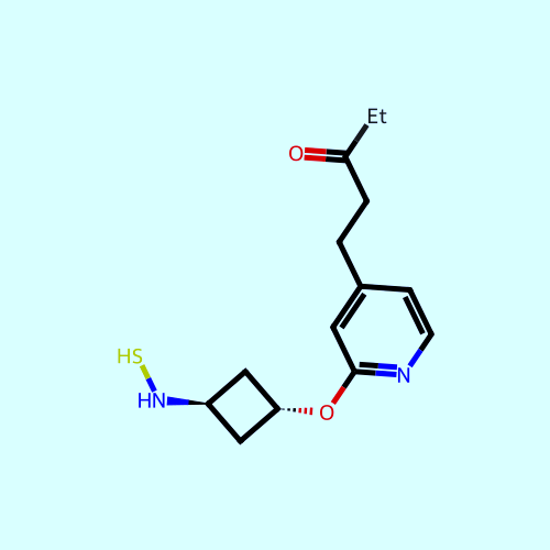 CCC(=O)CCc1ccnc(O[C@H]2C[C@H](NS)C2)c1